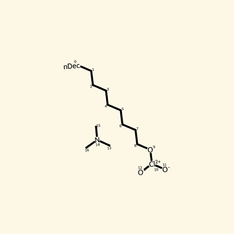 CCCCCCCCCCCCCCCCCCO[Cl+2]([O-])[O-].CN(C)C